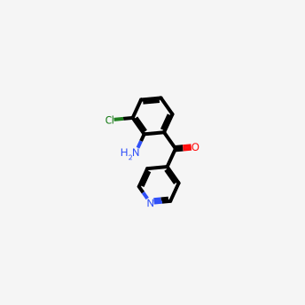 Nc1c(Cl)cccc1C(=O)c1ccncc1